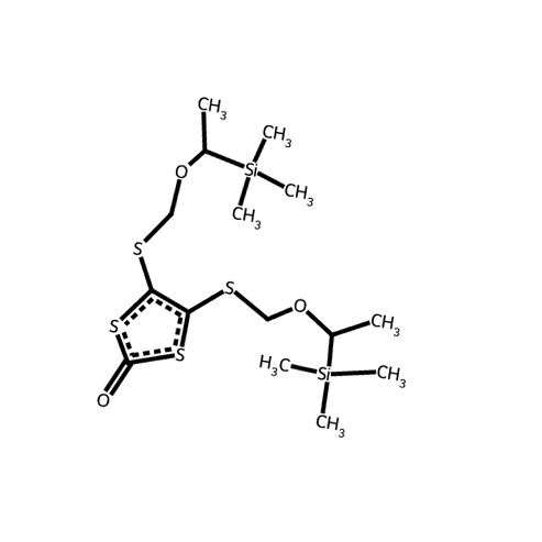 CC(OCSc1sc(=O)sc1SCOC(C)[Si](C)(C)C)[Si](C)(C)C